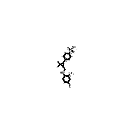 CC1(C)C(CNc2ccc(F)cc2C(F)(F)F)C1c1ccc(S(N)(=O)=O)cc1